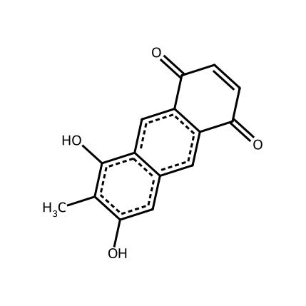 Cc1c(O)cc2cc3c(cc2c1O)C(=O)C=CC3=O